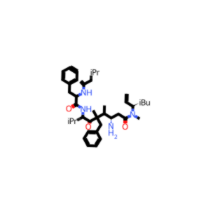 C=CC([C@@H](C)CC)N(C)C(=O)C[C@H](N)C(C)C(C)(Cc1ccccc1)C(=O)C(NC(=O)C(Cc1cc#ccc1)NC(=C)CC(C)C)C(C)C